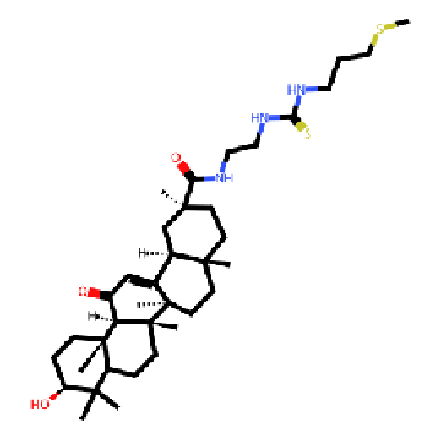 CSCCCNC(=S)NCCNC(=O)[C@@]1(C)CC[C@]2(C)CC[C@]3(C)C(=CC(=O)[C@@H]4[C@@]5(C)CC[C@H](O)C(C)(C)C5CC[C@]43C)[C@H]2C1